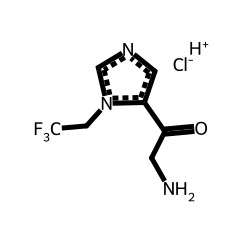 NCC(=O)c1cncn1CC(F)(F)F.[Cl-].[H+]